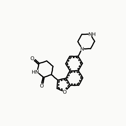 O=C1CCC(c2coc3ccc4cc(N5CCNCC5)ccc4c23)C(=O)N1